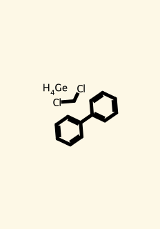 ClCCl.[GeH4].c1ccc(-c2ccccc2)cc1